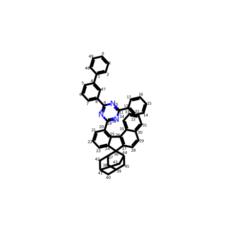 c1ccc(-c2cccc(-c3nc(-c4ccccc4)nc(-c4cccc5c4-c4c(ccc6ccccc46)C54C5CC6CC(C5)CC4C6)n3)c2)cc1